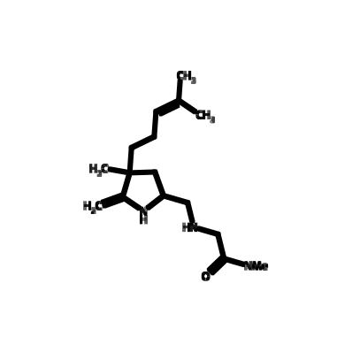 C=C1NC(CNCC(=O)NC)CC1(C)CCC=C(C)C